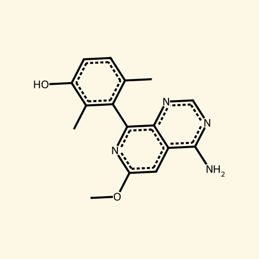 COc1cc2c(N)ncnc2c(-c2c(C)ccc(O)c2C)n1